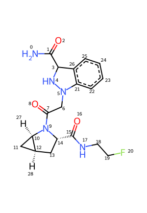 NC(=O)C1NN(CC(=O)N2[C@@H]3C[C@@H]3C[C@H]2C(=O)NCCF)c2ccccc21